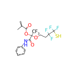 C=C(C)C(=O)OC(OCCC(F)(F)C(F)(F)S)(C(=O)Nc1ccccc1)C(F)(F)F